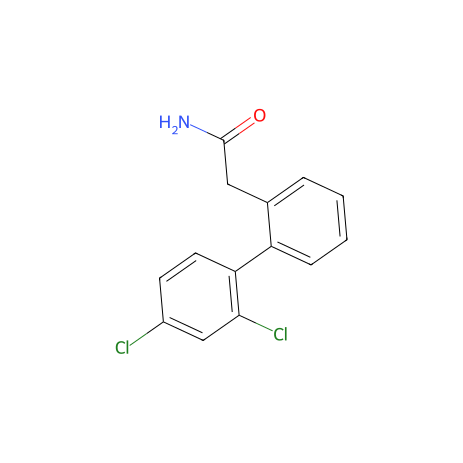 NC(=O)Cc1ccccc1-c1ccc(Cl)cc1Cl